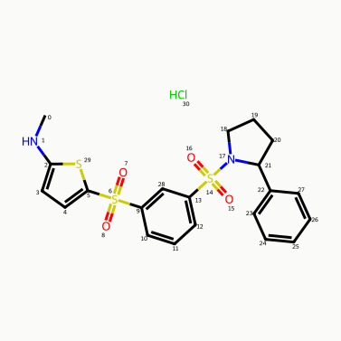 CNc1ccc(S(=O)(=O)c2cccc(S(=O)(=O)N3CCCC3c3ccccc3)c2)s1.Cl